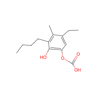 CCCCc1c(C)c(CC)cc(OC(=O)O)c1O